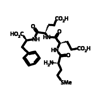 CSCC[C@H](N)C(=O)N[C@@H](CCC(=O)O)C(=O)N[C@@H](CCC(=O)O)C(=O)N[C@@H](Cc1ccccc1)C(=O)O